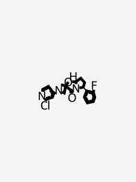 O=C1N2[C@@H](CC[C@H]2c2ccccc2F)OC12CN(c1ccnc(Cl)c1)C2